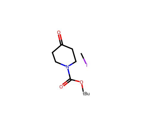 CC(C)(C)OC(=O)N1CCC(=O)CC1.CI